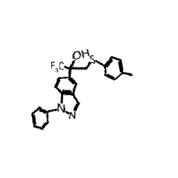 Cc1ccc(SCC(O)(c2ccc3c(cnn3-c3ccccc3)c2)C(F)(F)F)cc1